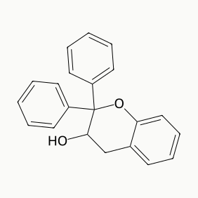 OC1Cc2ccccc2OC1(c1ccccc1)c1ccccc1